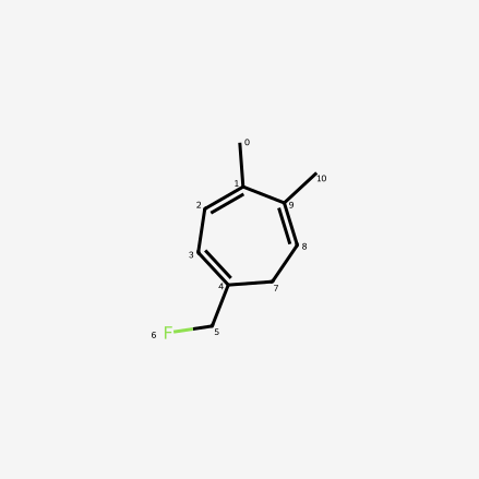 CC1=CC=C(CF)CC=C1C